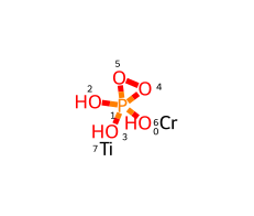 OP1(O)(O)OO1.[Cr].[Ti]